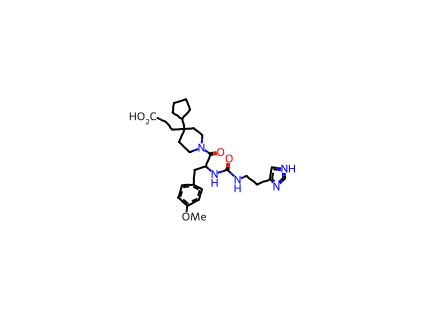 COc1ccc(CC(NC(=O)NCCc2c[nH]cn2)C(=O)N2CCC(CCC(=O)O)(C3CCCC3)CC2)cc1